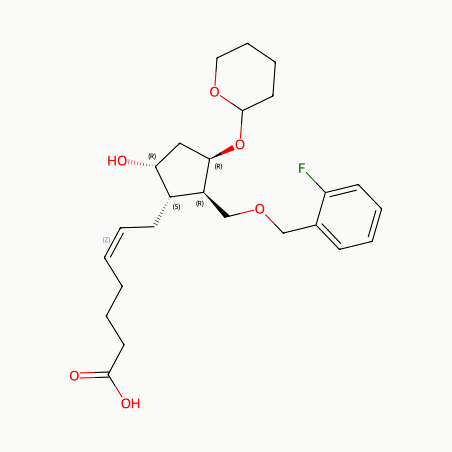 O=C(O)CCC/C=C\C[C@H]1[C@H](COCc2ccccc2F)[C@H](OC2CCCCO2)C[C@H]1O